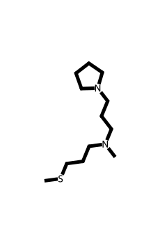 CSCCCN(C)CCCN1CCCC1